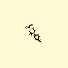 CC1(C)CN(C(=O)O)CCN1c1ccc(C#N)cn1